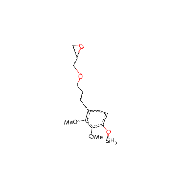 COc1c(CCCOCC2CO2)ccc(O[SiH3])c1OC